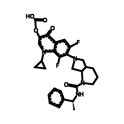 C[C@@H](NC(=O)N1CCCC2CN(c3c(F)cc4c(=O)c(OC(=O)O)cn(C5CC5)c4c3F)CC21)c1ccccc1